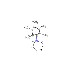 Cc1c(C)c(C)c(N2CCCCCC2)c(C)c1C